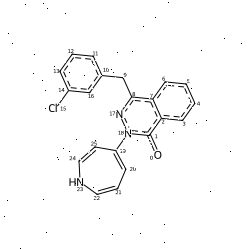 O=c1c2ccccc2c(Cc2cccc(Cl)c2)nn1C1=CC=CNC=C1